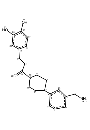 NCc1cccc(C2CCN(C(=O)CCc3ccc(O)c(O)c3)CC2)c1